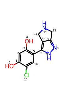 Oc1cc(O)c(-c2[nH]nc3c2CNC3)cc1Cl